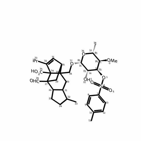 CO[C@H]1[C@@H](OS(=O)(=O)c2ccc(C)cc2)[C@H](O)[C@H](OCC23CC4C(C)CCC4C4(C=O)CC2C=C(C(C)C)C43C(=O)O)O[C@@H]1C